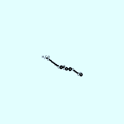 C=CC(=O)OCCCCCCCCCCCOc1ccc(C(=O)OC2CCC(c3ccc(OCCCCCCOC4CCCCO4)cc3)CC2)cc1